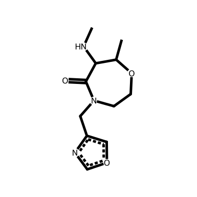 CNC1C(=O)N(Cc2cocn2)CCOC1C